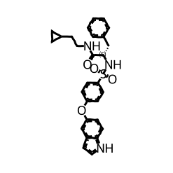 O=C(NCCC1CC1)[C@H](Cc1ccccc1)NS(=O)(=O)c1ccc(Oc2ccc3[nH]ccc3c2)cc1